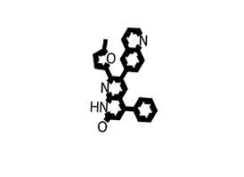 Cc1ccc(-c2nc3[nH]c(=O)cc(-c4ccccc4)c3cc2-c2ccc3ncccc3c2)o1